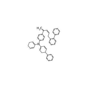 C=C(/C=C\Cc1ccccc1-c1ccccc1)c1ccc(N(C2=CCCC=C2)C2=CCC(c3ccccc3)C=C2)cc1